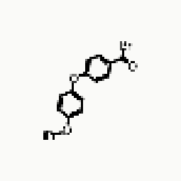 CC(C)Oc1ccc(Oc2ccc(C(=O)Br)cc2)cc1